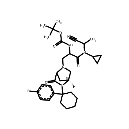 CC(C#N)N(C(=O)C(CN1C[C@@H]2CC1C(=O)N2C1(c2ccc(F)cc2)CCCCC1)NC(=O)OC(C)(C)C)C1CC1